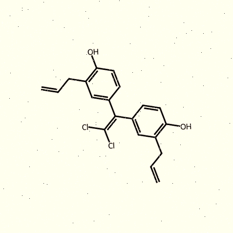 C=CCc1cc(C(=C(Cl)Cl)c2ccc(O)c(CC=C)c2)ccc1O